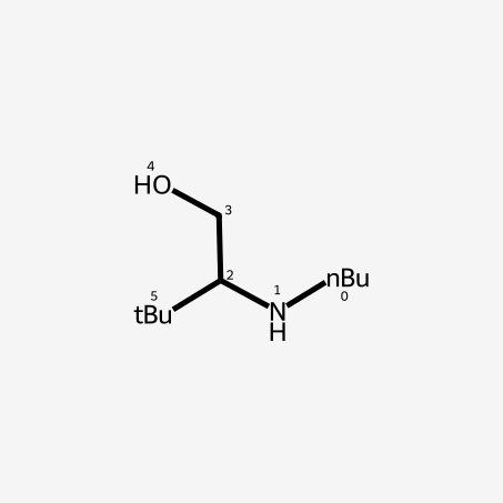 CCCCNC(CO)C(C)(C)C